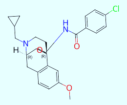 COc1ccc2c(c1)[C@]13CCN(CC4CC4)[C@H](C2)C1OCC(NC(=O)c1ccc(Cl)cc1)C3